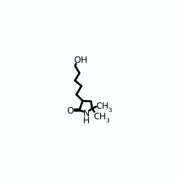 CC1(C)CC(CCCCCO)C(=O)N1